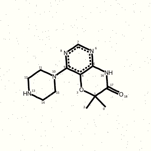 CC1(C)Oc2c(ncnc2N2CCNCC2)NC1=O